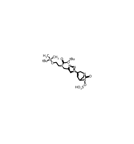 CC(C)(C)OC(=O)N(CCO[Si](C)(C)C(C)(C)C)Cc1cn(C2=CC3CN(C2)C(=O)N3OS(=O)(=O)O)nn1